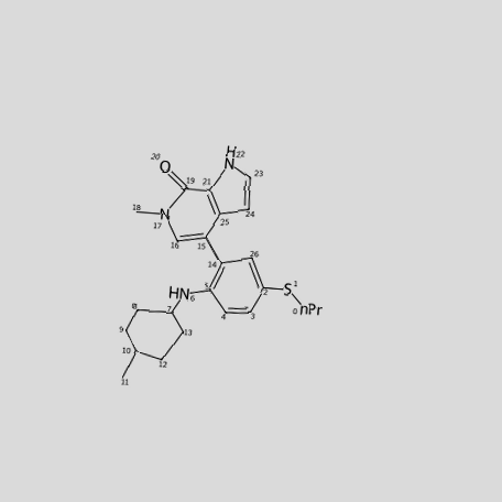 CCCSc1ccc(NC2CCC(C)CC2)c(-c2cn(C)c(=O)c3[nH]ccc23)c1